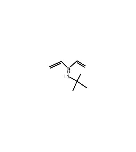 C=C[SiH](C=C)NC(C)(C)C